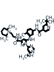 CNc1cc(-n2nc(C(=O)NCCN3C(C)CCCC3C)cc2Nc2cc(NC(=O)c3ccnc(C(C)(C)C)c3)ccc2C)ncn1